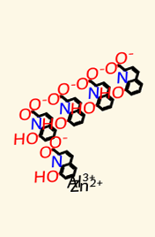 O=C([O-])c1ccc2cccc(O)c2n1.O=C([O-])c1ccc2cccc(O)c2n1.O=C([O-])c1ccc2cccc(O)c2n1.O=C([O-])c1ccc2cccc(O)c2n1.O=C([O-])c1ccc2cccc(O)c2n1.[Al+3].[Zn+2]